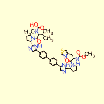 COC(=O)N[C@@H](Cc1cscn1)C(=O)N1CCCC1c1ncc(-c2ccc(-c3ccc(-c4cnc([C@@H]5CCCN5C(=O)[C@H](C(C)C)N(C)C(=O)O)[nH]4)cc3)cc2)[nH]1